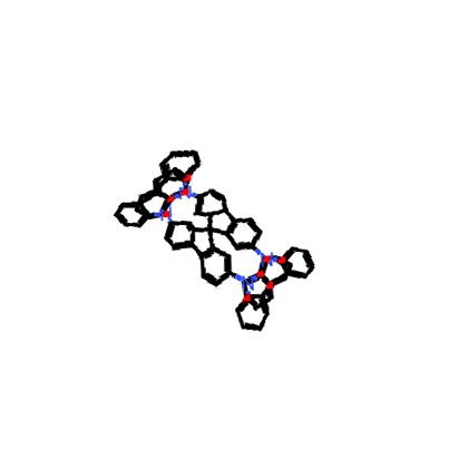 C1=CC2c3ccc(-n4c5ccccc5c5ccccc54)cc3C3(c4cc(-n5c6ccccc6c6ccccc65)ccc4-c4ccc(-n5c6ccccc6c6ccccc65)cc43)C2C=C1n1c2ccccc2c2ccccc21